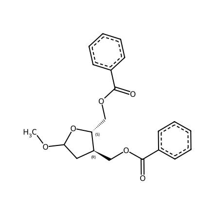 COC1C[C@H](COC(=O)c2ccccc2)[C@@H](COC(=O)c2ccccc2)O1